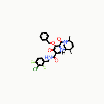 C[C@@H]1C=C[C@H](C)N2C[C@H]1n1cc(C(=O)NCc3ccc(F)c(Cl)c3F)c(=O)c(OCc3ccccc3)c1C2=O